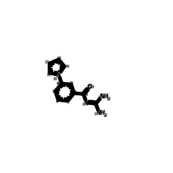 NC(N)=NC(=O)c1cccc(-n2cccc2)c1